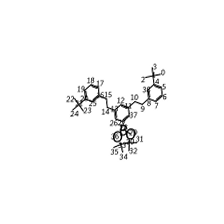 CC(C)(C)c1cccc(CCc2cc(CCc3cccc(C(C)(C)C)c3)cc(B3OC(C)(C)C(C)(C)O3)c2)c1